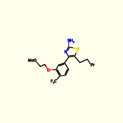 COCCOc1cc(-c2nc(N)sc2CCC(C)C)ccc1C(F)(F)F